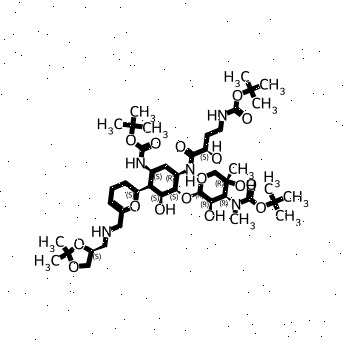 CN(C(=O)OC(C)(C)C)[C@@H]1[C@@H](O)[C@@H](O[C@H]2[C@H](NC(=O)[C@@H](O)CCNC(=O)OC(C)(C)C)C[C@H](NC(=O)OC(C)(C)C)C([C@@H]3CCC=C(CNC[C@H]4COC(C)(C)O4)O3)[C@@H]2O)OC[C@]1(C)O